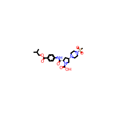 CC(C)COC(=O)c1ccc(NC(=O)[C@@H]2C[C@H](N3CCN(S(C)(=O)=O)CC3)CN2C(=O)O)cc1